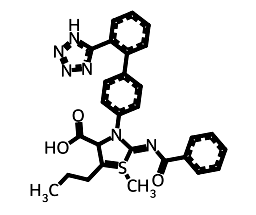 CCCC1=S(C)C(=NC(=O)c2ccccc2)N(c2ccc(-c3ccccc3-c3nnn[nH]3)cc2)C1C(=O)O